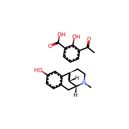 CC(=O)c1cccc(C(=O)O)c1O.CN1CC[C@]23CCCC[C@H]2[C@H]1Cc1ccc(O)cc13